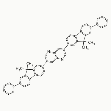 CC1(C)c2cc(-c3ccccc3)ccc2-c2ccc(-c3cnc4cc(-c5ccc6c(c5)C(C)(C)c5cc(-c7ccccc7)ccc5-6)cnc4c3)cc21